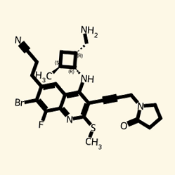 CSc1nc2c(F)c(Br)c(CCC#N)cc2c(N[C@H]2[C@@H](CN)C[C@@H]2C)c1C#CCN1CCCC1=O